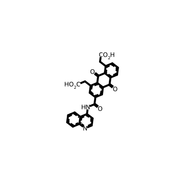 O=C(O)Cc1cccc2c1C(=O)c1c(CC(=O)O)cc(C(=O)Nc3ccnc4ccccc34)cc1C2=O